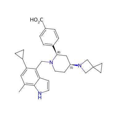 Cc1cc(C2CC2)c(CN2CC[C@H](N3CC4(CC4)C3)C[C@@H]2c2ccc(C(=O)O)cc2)c2cc[nH]c12